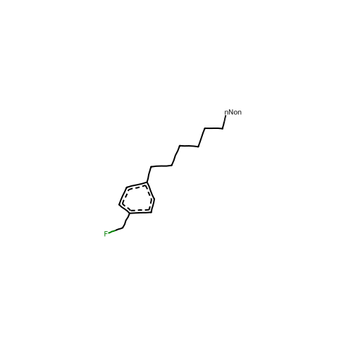 CCCCCCCCCCCCCCCc1ccc(CF)cc1